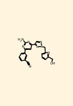 N#Cc1cccc(-c2cc(-c3cnn(Cc4cccc(CO)n4)n3)nc(N)n2)c1